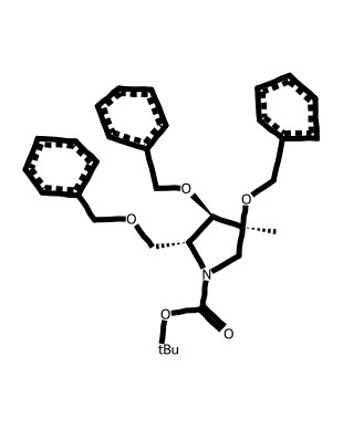 CC(C)(C)OC(=O)N1C[C@](C)(OCc2ccccc2)[C@H](OCc2ccccc2)[C@H]1COCc1ccccc1